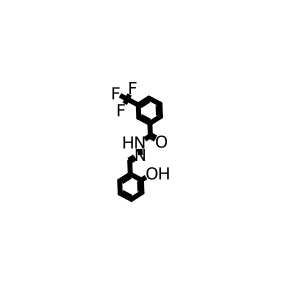 O=C(NN=Cc1ccccc1O)c1cccc(C(F)(F)F)c1